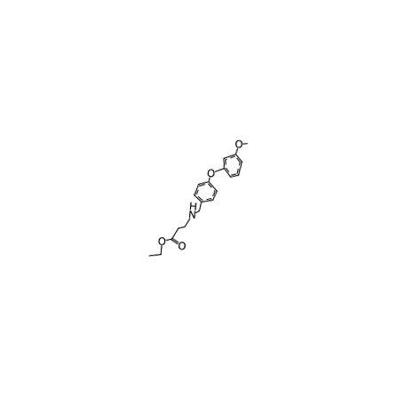 CCOC(=O)CCNCc1ccc(Oc2cccc(OC)c2)cc1